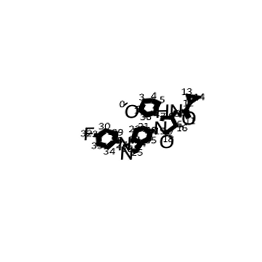 COc1cccc([C@@H]2C(NC(=O)C3CC3)[C@H](C)C(=O)N2c2ccc3c(cnn3-c3ccc(F)cc3)c2)c1